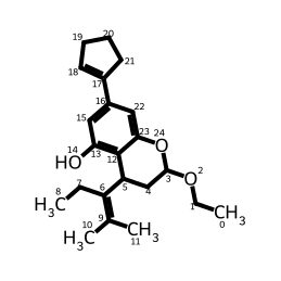 CCOC1CC(C(CC)=C(C)C)c2c(O)cc(C3=CCCC3)cc2O1